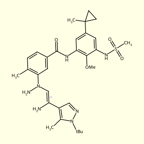 COc1c(NC(=O)c2ccc(C)c(N(N)/C=C(\N)c3cnn(C(C)(C)C)c3C)c2)cc(C2(C)CC2)cc1NS(C)(=O)=O